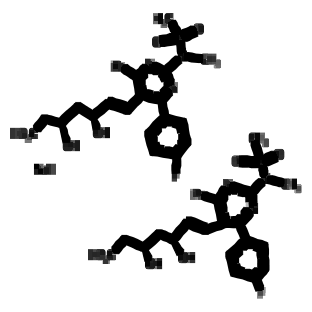 CC(C)c1nc(N(C)S(C)(=O)=O)nc(-c2ccc(F)cc2)c1/C=C/[C@@H](O)C[C@@H](O)CC(=O)O.CC(C)c1nc(N(C)S(C)(=O)=O)nc(-c2ccc(F)cc2)c1/C=C/[C@@H](O)C[C@@H](O)CC(=O)O.[NaH]